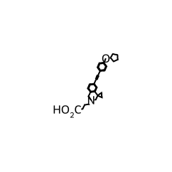 O=C(O)CCCN1Cc2ccc(C#Cc3ccc(OC4CCCC4)cc3)cc2C2(CC2)C1